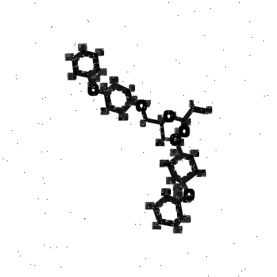 C=CC(=O)OC(COc1ccc(Oc2ccccc2)cc1)COc1ccc(Oc2ccccc2)cc1